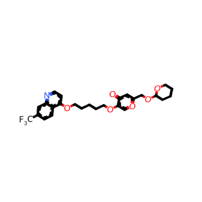 O=c1cc(COC2CCCCO2)occ1OCCCCCOc1ccnc2cc(C(F)(F)F)ccc12